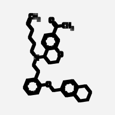 C=CCCCCN(CCc1ccccc1OCc1ccc2c(c1)CCCC2)C1CCOc2cc(C(C)=O)ccc21